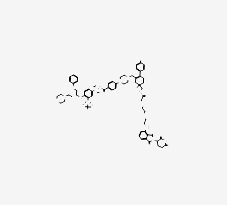 CC1(CNC(=O)COCCOCCNc2cccc3c2C(=O)N(C2CCC(=O)NC2=O)C3=O)CCC(c2ccc(Cl)cc2)=C(CN2CCN(c3ccc(C(=O)NS(=O)(=O)c4ccc(N[C@H](CCN5CCOCC5)CSc5ccccc5)c(S(=O)(=O)C(F)(F)F)c4)cc3)CC2)C1